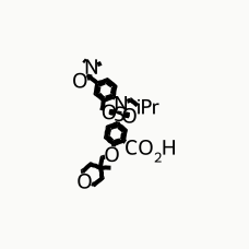 Cc1cc(C(=O)N(C)C)ccc1N(CC(C)C)S(=O)(=O)c1ccc(OCC2(C)CCOCC2)c(C(=O)O)c1